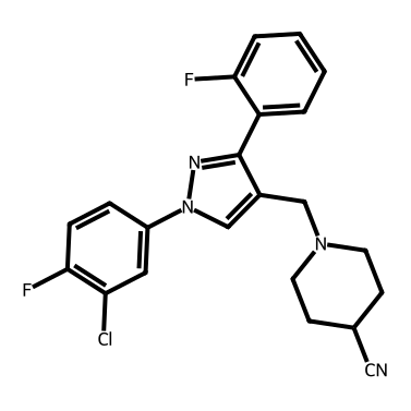 N#CC1CCN(Cc2cn(-c3ccc(F)c(Cl)c3)nc2-c2ccccc2F)CC1